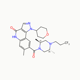 Cc1cc2[nH]c(=O)c3cnn(C4CCOCC4)c3c2cc1C(=O)N1C[C@@H](C)N(CCC(F)(F)F)C[C@@H]1C